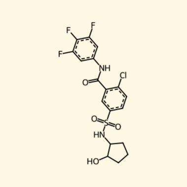 O=C(Nc1cc(F)c(F)c(F)c1)c1cc(S(=O)(=O)NC2CCCC2O)ccc1Cl